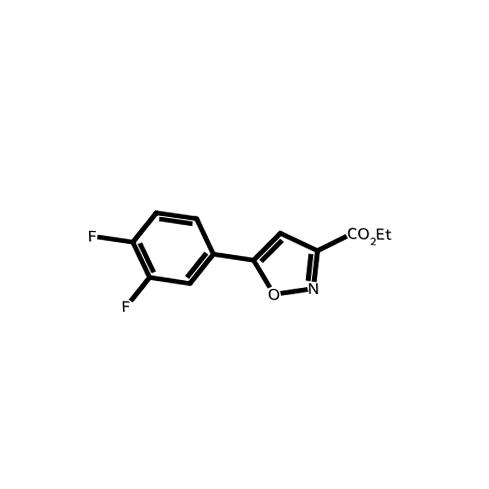 CCOC(=O)c1cc(-c2ccc(F)c(F)c2)on1